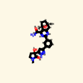 CN1CC[C@](O)(c2cc(-c3cccc(-c4nc5c(c(C(N)=O)n4)[C@H]4CC[C@@H](C5)O4)c3)n[nH]2)C1=O